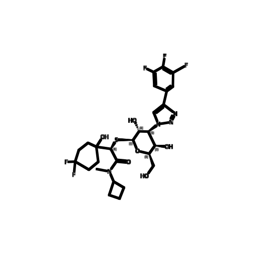 CN(C(=O)[C@H](S[C@@H]1O[C@H](CO)[C@H](O)[C@H](n2cc(-c3cc(F)c(F)c(F)c3)nn2)[C@H]1O)C1(O)CCC(F)(F)CC1)C1CCC1